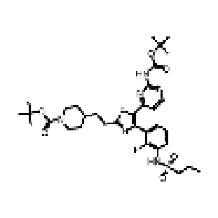 CCCS(=O)(=O)Nc1cccc(-c2nc(CCC3CCN(C(=O)OC(C)(C)C)CC3)sc2-c2ccnc(NC(=O)OC(C)(C)C)n2)c1F